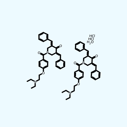 CCN(CC)CCOc1ccc(C(=O)N2CC(=Cc3ccccc3)C(=O)C(=Cc3ccccc3)C2)cc1.CCN(CC)CCOc1ccc(C(=O)N2CC(=Cc3ccccc3)C(=O)C(=Cc3ccccc3)C2)cc1.Cl.Cl.O